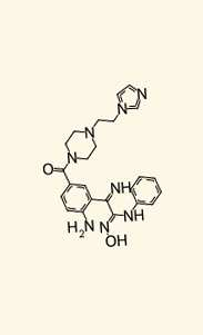 N=C(/C(=N/O)Nc1ccccc1)c1cc(C(=O)N2CCN(CCn3ccnc3)CC2)ccc1N